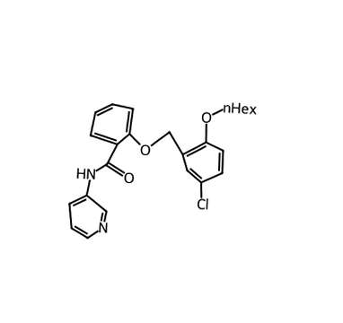 CCCCCCOc1ccc(Cl)cc1COc1ccccc1C(=O)Nc1cccnc1